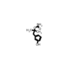 CC(C)(Cc1cccc(O)c1)OC(N)=O